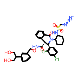 [N-]=[N+]=NCS(=O)(=O)N[C@H]1CCCCC1N1C(=O)c2ccccc2[C@@H](C(=O)NOCc2cccc(C(CO)CO)c2)[C@@H]1c1ccc(Cl)cc1Cl